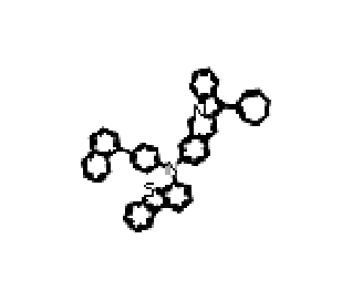 C1=CC(c2c3ccccc3n3cc4cc(N(c5ccc(-c6cccc7ccccc67)cc5)c5cccc6c5sc5ccccc56)ccc4cc23)=CCCC1